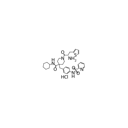 Cl.N[C@@H](Cc1cccs1)C(=O)N1CCC(Cc2ccc(NS(=O)(=O)c3ccccn3)cc2)(C(=O)NC2CCCCC2)CC1